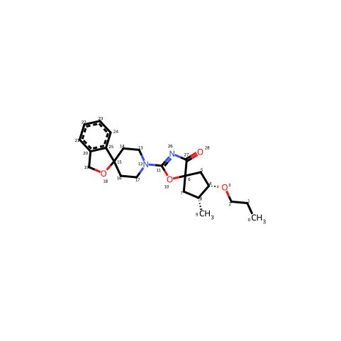 CCCO[C@H]1CC2(C[C@H]1C)OC(N1CCC3(CC1)OCc1ccccc13)=NC2=O